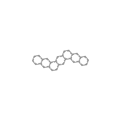 c1ccc2cc3c(ccc4cc5c(ccc6cc7ccccc7cc65)cc43)cc2c1